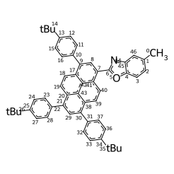 Cc1ccc2oc(-c3cc(-c4ccc(C(C)(C)C)cc4)c4ccc5c(-c6ccc(C(C)(C)C)cc6)cc(-c6ccc(C(C)(C)C)cc6)c6ccc3c4c56)nc2c1